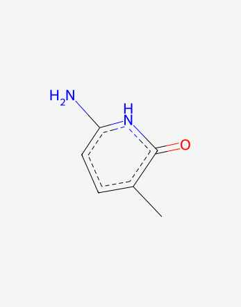 Cc1ccc(N)[nH]c1=O